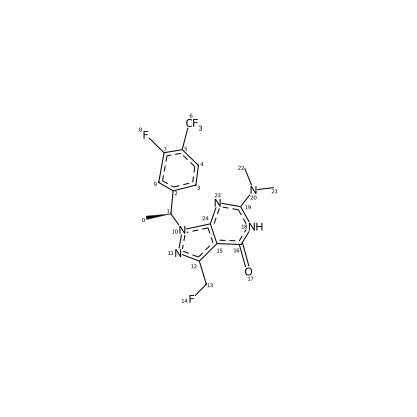 C[C@@H](c1ccc(C(F)(F)F)c(F)c1)n1nc(CF)c2c(=O)[nH]c(N(C)C)nc21